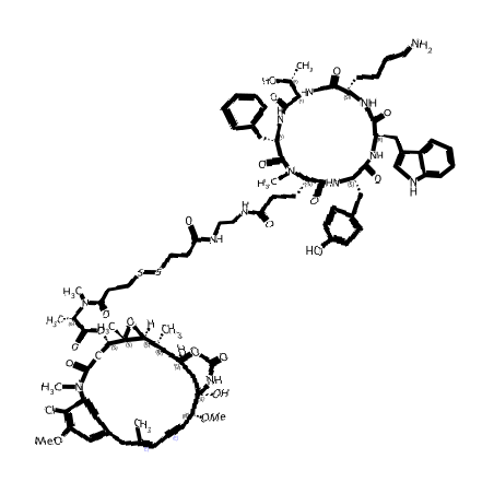 COc1cc2cc(c1Cl)N(C)C(=O)C[C@H](OC(=O)[C@H](C)N(C)C(=O)CCSSCCC(=O)NCCNC(=O)CC[C@H]1C(=O)N[C@@H](Cc3ccc(O)cc3)C(=O)N[C@H](Cc3c[nH]c4ccccc34)C(=O)N[C@@H](CCCCN)C(=O)N[C@@H]([C@@H](C)O)C(=O)N[C@@H](Cc3ccccc3)C(=O)N1C)[C@]1(C)O[C@H]1[C@H](C)[C@@H]1C[C@@](O)(NC(=O)O1)[C@H](OC)/C=C/C=C(\C)C2